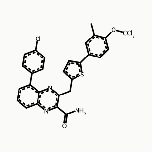 Cc1cc(-c2ccc(Cc3nc4c(-c5ccc(Cl)cc5)cccc4nc3C(N)=O)s2)ccc1OC(Cl)(Cl)Cl